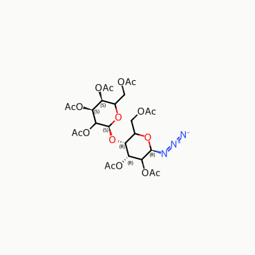 CC(=O)OCC1O[C@@H](N=[N+]=[N-])C(OC(C)=O)[C@H](OC(C)=O)[C@@H]1O[C@@H]1OC(COC(C)=O)[C@H](OC(C)=O)[C@H](OC(C)=O)C1OC(C)=O